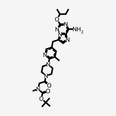 CCC(C)Oc1nc(N)c2ncc(Cc3cnc(N4CCN(C(=O)CN(C)C(=O)OC(C)(C)C)CC4)c(C)c3)n2n1